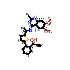 C#CC(O)c1ccccc1-c1ccc(C(C)Nc2nc(C)nc3cc(OC)c(OC)cc23)s1